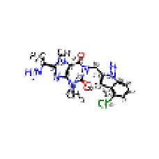 C[C@H](N)c1nc2c(c(=O)n(Cc3cc4c(Cl)cccc4[nH]3)c(=O)n2C)n1C